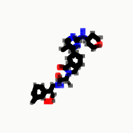 Cc1cccc([C@@H](CO)CNC(=O)[C@@H](C)N2Cc3ccc(-c4nc(NC5CCOCC5)ncc4C)cc3C2=O)c1